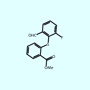 COC(=O)c1ccccc1Sc1c(F)cccc1C=O